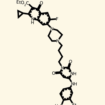 CCOC(=O)c1c(C2CC2)[nH]c2cc(N3CCN(CCCCn4c(=O)cc(Nc5ccc(C)c(CC)c5)[nH]c4=O)CC3)c(F)cc2c1=O